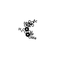 COc1ccc(Oc2c(C)cc(-n3nc(C(=O)OCC(C)=O)c(=O)[nH]c3=O)cc2C)cc1Br